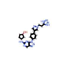 O[C@@H]1CC[C@@H](Nc2ncc3nnn(-c4ccc(-c5cnn(CCC6NN=NN6)c5)cc4)c3n2)C1